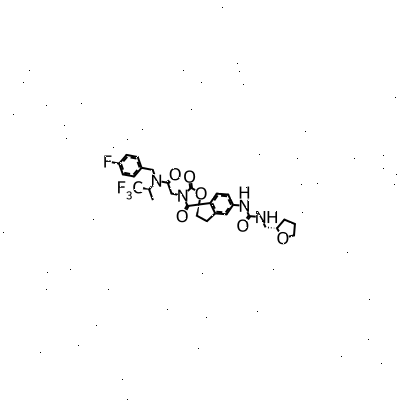 C[C@H](N(Cc1ccc(F)cc1)C(=O)CN1C(=O)O[C@@]2(CCc3cc(NC(=O)NC[C@@H]4CCCO4)ccc32)C1=O)C(F)(F)F